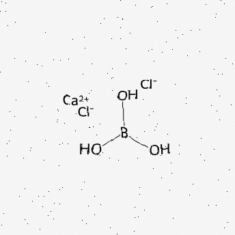 OB(O)O.[Ca+2].[Cl-].[Cl-]